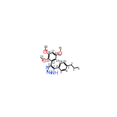 CCCc1ccc(-c2[nH]nnc2-c2cc(OC)cc(OC)c2OC)cc1